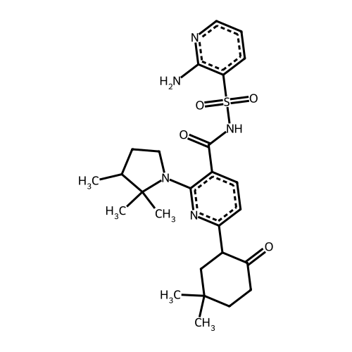 CC1CCN(c2nc(C3CC(C)(C)CCC3=O)ccc2C(=O)NS(=O)(=O)c2cccnc2N)C1(C)C